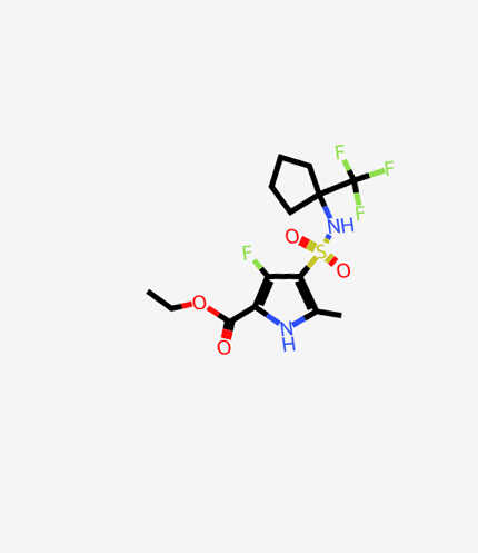 CCOC(=O)c1[nH]c(C)c(S(=O)(=O)NC2(C(F)(F)F)CCCC2)c1F